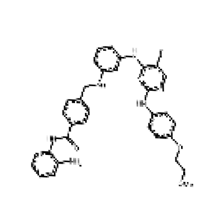 COCCOc1ccc(Nc2ncc(F)c(Nc3cccc(NCc4ccc(C(=O)Nc5ccccc5N)cc4)c3)n2)cc1